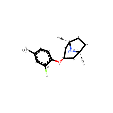 O=[N+]([O-])c1ccc(O[C@H]2C[C@H]3CC[C@@H](C2)N3)c(F)c1